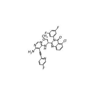 COC[C@H](Nc1ncnc(N)c1C#Cc1ccc(F)cn1)c1nc2cccc(Cl)c2c(=O)n1-c1cc(F)cc(F)c1